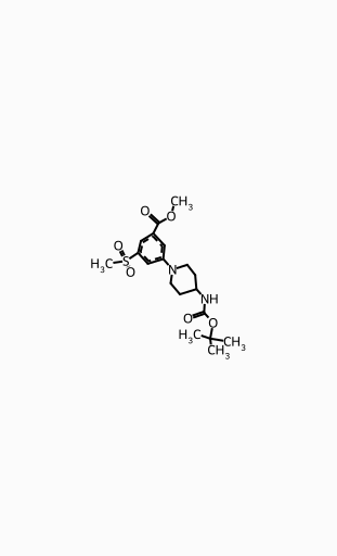 COC(=O)c1cc(N2CCC(NC(=O)OC(C)(C)C)CC2)cc(S(C)(=O)=O)c1